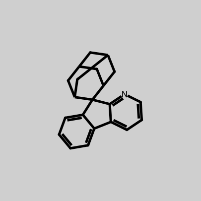 c1ccc2c(c1)-c1cccnc1C21C2CC3CC(C2)CC1C3